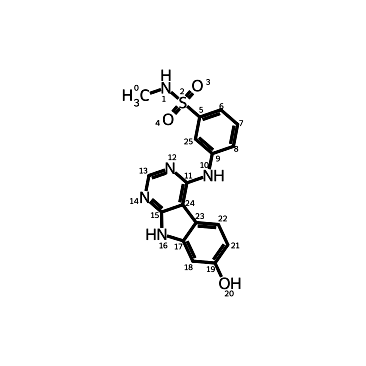 CNS(=O)(=O)c1cccc(Nc2ncnc3[nH]c4cc(O)ccc4c23)c1